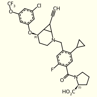 C#CC1C2C1N(Cc1cc(F)c(C(=O)N3CCC[C@H]3C(=O)O)cc1C1CC1)CC[C@H]2Oc1cc(Cl)cc(OC(F)(F)F)c1